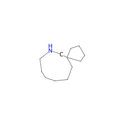 C1CCCC2(CCCC2)CNCC1